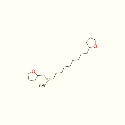 CCC[S+](CCCCCCCCCC1CCCO1)CC1CCCO1